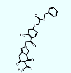 NC(=S)C1C(=O)CC2=CN(CC(=O)c3ccc(OCC(=O)OCc4ccccc4)cc3O)CC2C1=O